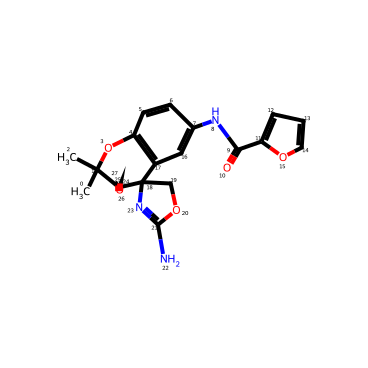 CC1(C)Oc2ccc(NC(=O)c3ccco3)cc2C2(COC(N)=N2)C12COC2